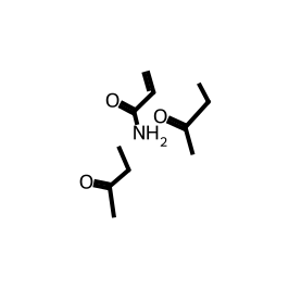 C=CC(N)=O.CCC(C)=O.CCC(C)=O